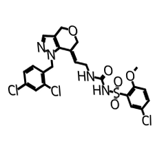 COc1ccc(Cl)cc1S(=O)(=O)NC(=O)NCC=C1COCc2cnn(Cc3ccc(Cl)cc3Cl)c21